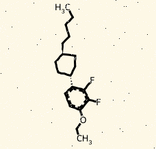 CCCCC[C@H]1CC[C@H](c2ccc(OCC)c(F)c2F)CC1